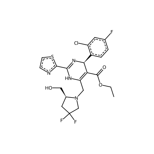 CCOC(=O)C1=C(CN2CC(F)(F)C[C@H]2CO)NC(c2nccs2)=N[C@H]1c1ccc(F)cc1Cl